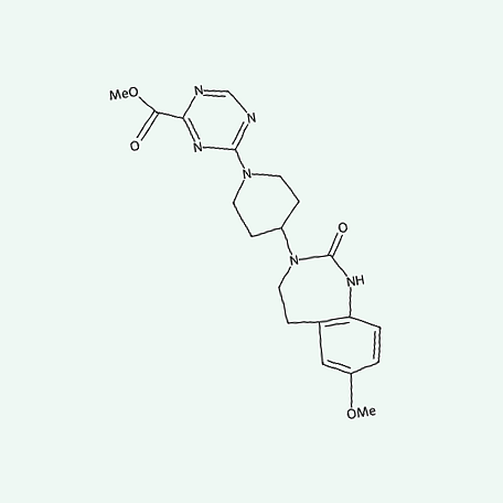 COC(=O)c1ncnc(N2CCC(N3CCc4cc(OC)ccc4NC3=O)CC2)n1